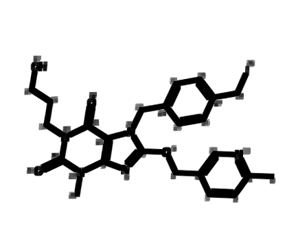 Cc1ccc(COc2nc3c(c(=O)n(CCCO)c(=O)n3C)n2Cc2ccc(CI)cc2)cn1